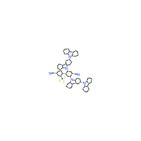 N#Cc1ccc(-c2cc(-n3c4ccccc4c4cc(-n5c6ccccc6c6ccccc65)ccc43)c(C#N)cc2-n2c3ccccc3c3cc(-n4c5ccccc5c5ccccc54)ccc32)c(C(F)(F)F)c1